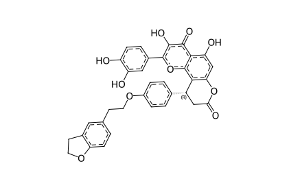 O=C1C[C@H](c2ccc(OCCc3ccc4c(c3)CCO4)cc2)c2c(cc(O)c3c(=O)c(O)c(-c4ccc(O)c(O)c4)oc23)O1